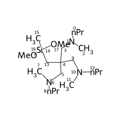 CCCN(C)CC(CN(C)CCC)(CN(C)CCC)C[Si](C)(OC)OC